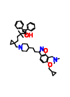 CN(C)Cc1c(OCC2CC2)ccc2c(CCC3CCN(CC4(CCC(C)(C)[Si](O)(c5ccccc5)c5ccccc5)CC4)CC3)noc12